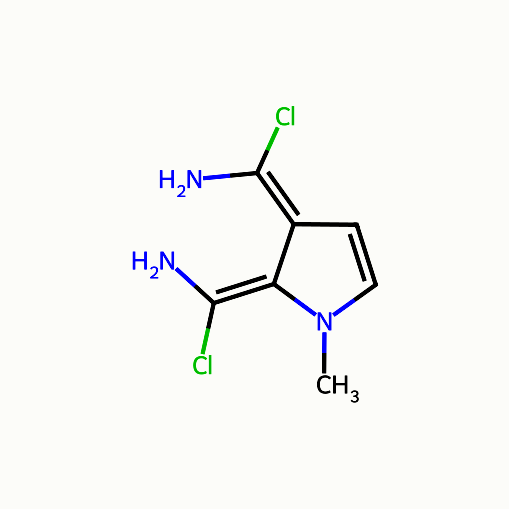 Cn1ccc(=C(/N)Cl)/c1=C(\N)Cl